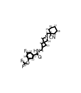 N#CC1(CN2CC3(CC(CNC(=O)c4cc(F)cc(OC(F)F)c4)C3)C2)CCCCC1